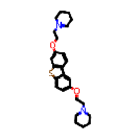 c1cc2c(cc1OCCN1CCCCC1)sc1ccc(OCCN3CCCCC3)cc12